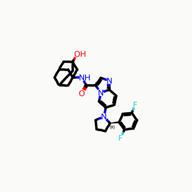 O=C(NC12CC3CC(CC(O)(C3)C1)C2)c1cnc2ccc(N3CCC[C@@H]3c3cc(F)ccc3F)cn12